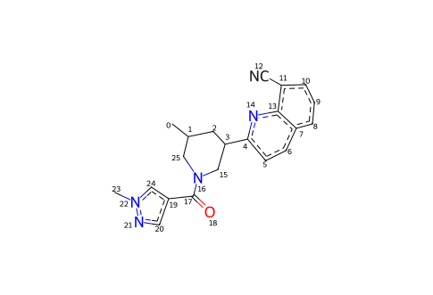 CC1CC(c2ccc3cccc(C#N)c3n2)CN(C(=O)c2cnn(C)c2)C1